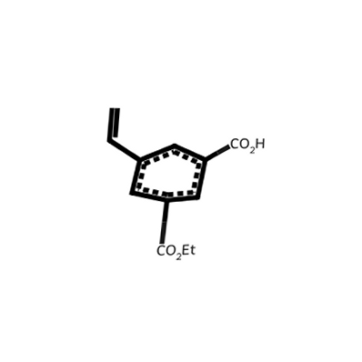 C=Cc1cc(C(=O)O)cc(C(=O)OCC)c1